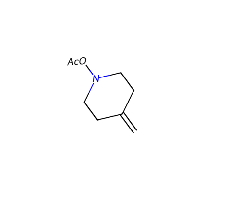 C=C1CCN(OC(C)=O)CC1